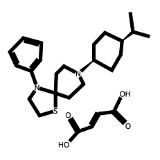 CC(C)[C@H]1CC[C@@H](N2CCC3(CC2)SCCN3c2ccccc2)CC1.O=C(O)C=CC(=O)O